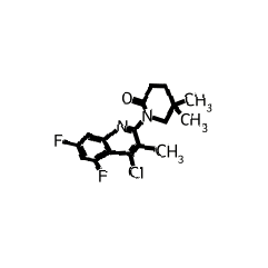 Cc1c(N2CC(C)(C)CCC2=O)nc2cc(F)cc(F)c2c1Cl